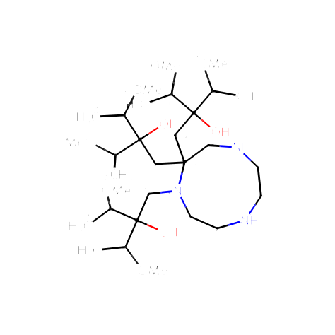 COC(C)C(O)(CN1CCNCCNCC1(CC(O)(C(C)OC)C(C)OC)CC(O)(C(C)OC)C(C)OC)C(C)OC